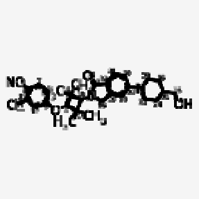 CC1(C)[C@H](Oc2ccc(C#N)c(Cl)c2)C(C)(C)[C@H]1N1Cc2cc(N3CCC(CO)CC3)ccc2C1=O